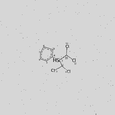 ClC(Cl)[SiH](c1ccccc1)C(Cl)Cl